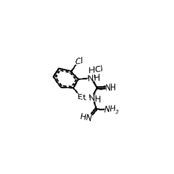 CCc1cccc(Cl)c1NC(=N)NC(=N)N.Cl